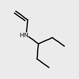 C=CNC(CC)CC